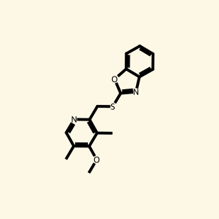 COc1c(C)cnc(CSc2nc3ccccc3o2)c1C